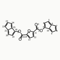 O=C(OC1=CC=C2C=CC=C21)c1ccc(C(=O)OC2=CC=C3C=CC=C32)o1